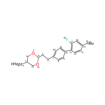 CCCCCCCC1COC(CCc2ccc(-c3ccc(CCCC)cc3F)cc2)OC1